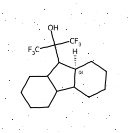 OC(C1C2CCCCC2C2CCCC[C@@H]21)(C(F)(F)F)C(F)(F)F